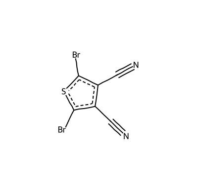 N#Cc1c(Br)sc(Br)c1C#N